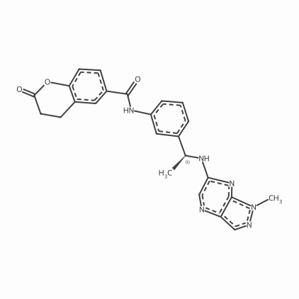 C[C@H](Nc1cnc2cnn(C)c2n1)c1cccc(NC(=O)c2ccc3c(c2)CCC(=O)O3)c1